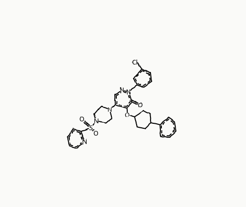 O=c1c(OC2CCC(c3ccccc3)CC2)c(N2CCN(S(=O)(=O)c3ccccn3)CC2)cnn1-c1cccc(Cl)c1